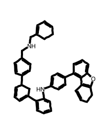 C1=CCCC(CNCc2ccc(C3C=CC=C(c4ccccc4Nc4ccc(-c5cccc6oc7c(c56)C=CCC7)cc4)C3)cc2)=C1